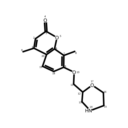 Cc1cc(=O)oc2c(C)c(OCC3CNCCO3)ccc12